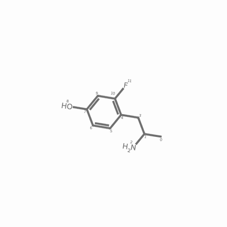 CC(N)Cc1ccc(O)cc1F